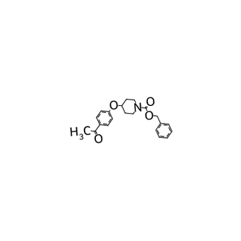 CC(=O)c1ccc(OC2CCN(C(=O)OCc3ccccc3)CC2)cc1